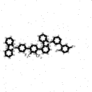 Fc1ccc(F)c(-c2cccc(-n3c4ccccc4c4c(-c5ccc(-c6ccc(-n7c8ccccc8c8ccccc87)cc6)c(C(F)(F)F)c5C(F)(F)F)cccc43)c2)c1